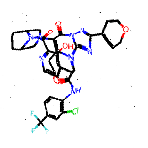 CCc1c(N2CC3CCC(C2)N3C(=O)c2nccc(C)c2O)c(=O)n2nc(C3=CCOCC3)nc2n1CC(=O)Nc1ccc(C(F)(F)F)cc1Cl